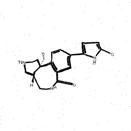 O=C1NC[C@@H]2CNC[C@H]2c2ccc(-c3ccc(Cl)[nH]3)cc21